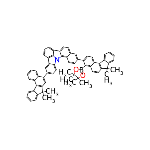 CC1(C)c2ccccc2-c2c1cc(-c1ccc3c(c1)c1cccc4c5ccc6cc(-c7ccc8c9c(ccc8c7B7OC(C)(C)C(C)(C)O7)C(C)(C)c7ccccc7-9)ccc6c5n3c14)c1ccccc21